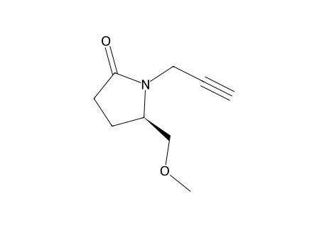 C#CCN1C(=O)CC[C@@H]1COC